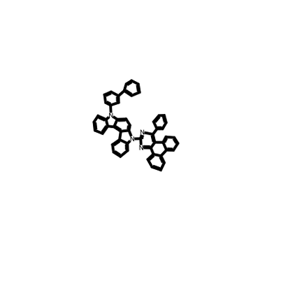 c1ccc(-c2cccc(-n3c4ccccc4c4c5c6ccccc6n(-c6nc(-c7ccccc7)c7c8ccccc8c8ccccc8c7n6)c5ccc43)c2)cc1